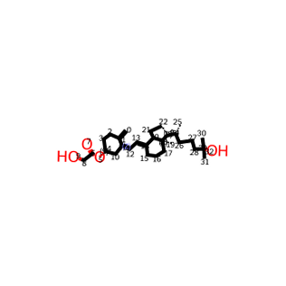 C=C1CC[C@H](OC(=O)CO)C/C1=C/C=C1CCC[C@@]2(C)C1CC[C@@H]2[C@H](C)CCCC(C)(C)O